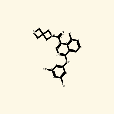 Cc1cccc2c(Nc3cc(F)cc(F)c3)ncc(C(=O)N3CC4(COC4)C3)c12